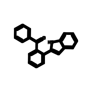 O=C(c1ccccc1)c1ccccc1-c1cc2ccccc2[nH]1